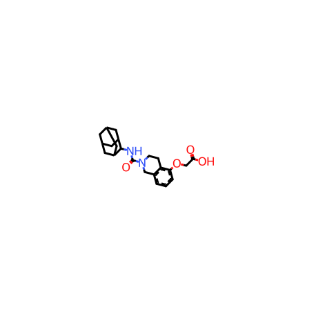 O=C(O)COc1cccc2c1CCN(C(=O)NC1C3CC4CC(C3)CC1C4)C2